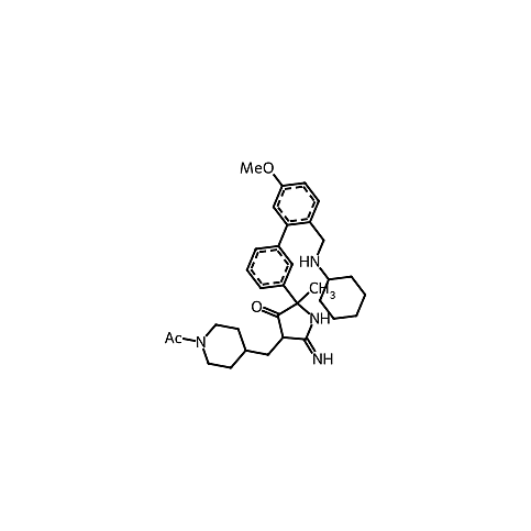 COc1ccc(CNC2CCCCC2)c(-c2cccc(C3(C)NC(=N)C(CC4CCN(C(C)=O)CC4)C3=O)c2)c1